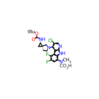 CN(C(=O)O)c1cc(F)c(F)c2c1[nH]c1ncc(Cl)c(N3CC[C@@]4(C[C@@H]4NC(=O)OC(C)(C)C)C3)c12